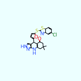 CC1(C)CC(=O)C2=C(C1)Nc1n[nH]cc1C2c1ccc(SC2=NC3C=C(Cl)C=CC3S2)o1